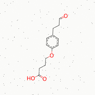 O=CCCc1ccc(OCCCC(=O)O)cc1